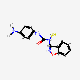 CCN(CC)c1ccc(NC(=O)N(S)c2noc3ccccc23)cc1